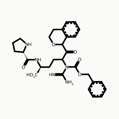 N=C(N)N(C(=O)OCc1ccccc1)C(CC[C@H](NC(=O)[C@@H]1CCCN1)C(=O)O)C(=O)C1OCCc2ccccc21